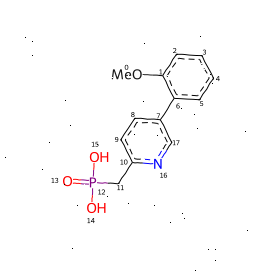 COc1ccccc1-c1ccc(CP(=O)(O)O)nc1